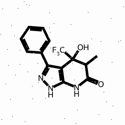 CC1C(=O)Nc2[nH]nc(-c3ccccc3)c2C1(O)C(F)(F)F